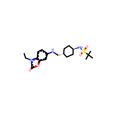 CCn1c(=O)oc2cc(NC[C@H]3CC[C@H](NS(=O)(=O)C(C)(C)C)CC3)ccc21